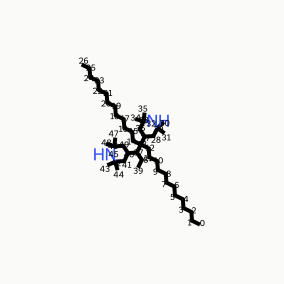 CCCCCCCCCCCCCC(CCCCCCCCCCCCC)(C1CC(C)(C)NC(C)(C)C1)C(CC)C1CC(C)(C)NC(C)(C)C1